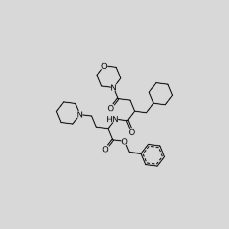 O=C(NC(CCN1CCCCC1)C(=O)OCc1ccccc1)C(CC(=O)N1CCOCC1)CC1CCCCC1